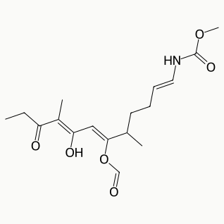 CCC(=O)/C(C)=C(O)/C=C(\OC=O)C(C)CC/C=C/NC(=O)OC